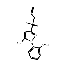 C=CCC(F)(F)c1cc(C(F)(F)F)n(-c2ccccc2OC)n1